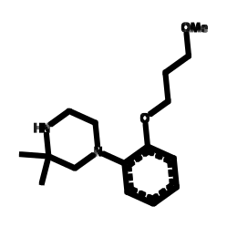 COCCCOc1ccccc1N1CCNC(C)(C)C1